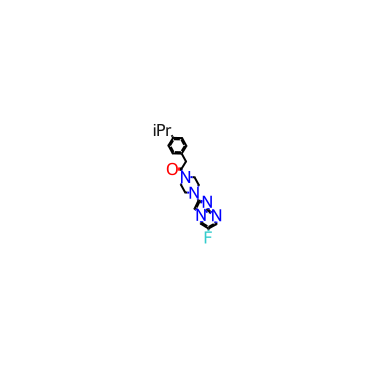 CC(C)c1ccc(CC(=O)N2CCN(c3cn4cc(F)cnc4n3)CC2)cc1